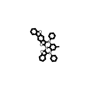 Cc1cc2c3c(c1)N(c1ccccc1)c1c(oc4cc5c(cc14)oc1ccccc15)N3c1oc3ccccc3c1N2c1ccccc1